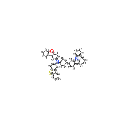 c1ccc2c(c1)oc1ccc(N(c3ccc(-c4ccc5c6cccc7c8ccccc8n(c5c4)c76)cc3)c3ccc4sc5ccccc5c4c3)cc12